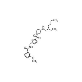 CCCCC(CC)CNC1CCN(S(=O)(=O)c2ccc(CNC(=O)c3cccc(OC)c3)s2)C1